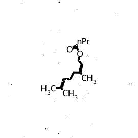 CCCC(=O)OCC=C(C)CCC=C(C)C